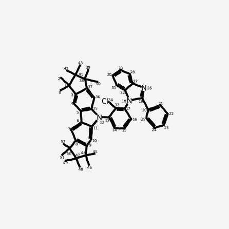 CC1(C)c2cc3c4cc5c(cc4n(-c4cccc(-n6c(-c7ccccc7)nc7ccccc76)c4Cl)c3cc2C(C)(C)C1(C)C)C(C)(C)C(C)(C)C5(C)C